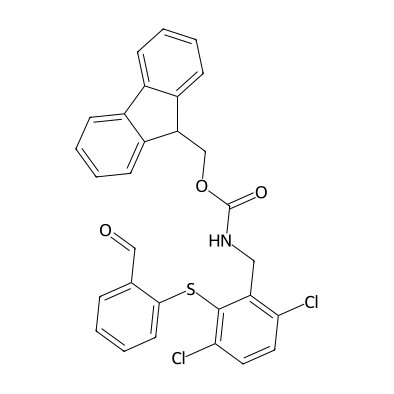 O=Cc1ccccc1Sc1c(Cl)ccc(Cl)c1CNC(=O)OCC1c2ccccc2-c2ccccc21